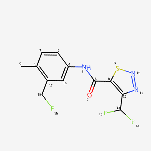 Cc1ccc(NC(=O)c2snnc2C(F)F)cc1CF